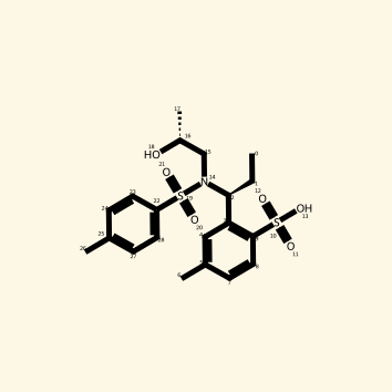 CC[C@@H](c1cc(C)ccc1S(=O)(=O)O)N(C[C@@H](C)O)S(=O)(=O)c1ccc(C)cc1